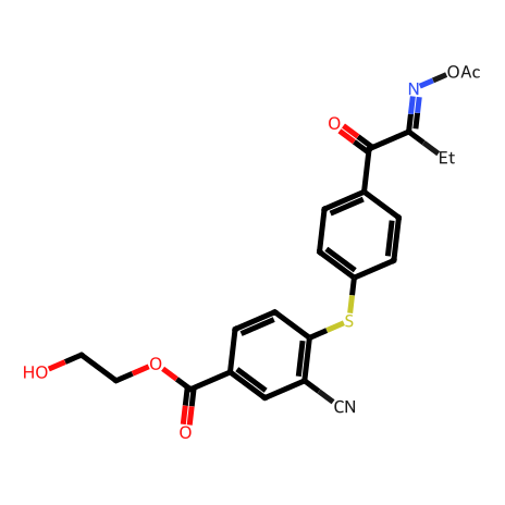 CC/C(=N\OC(C)=O)C(=O)c1ccc(Sc2ccc(C(=O)OCCO)cc2C#N)cc1